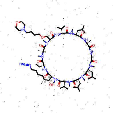 CC[C@@H]1NC(=O)[C@H]([C@H](O)[C@H](C)CCCCN=[N+]=[N-])N(C)C(=O)[C@H](C(C)C)N(C)C(=O)[C@H](CC(C)C)N(C)C(=O)[C@H](CC(C)C)N(C)C(=O)[C@@H](C)NC(=O)[C@H](C)NC(=O)[C@H](CC(C)C)N(C)C(=O)[C@H](C(C)C)NC(=O)[C@H]([C@@H](C)OCCCCN2CCOCC2)N(C)C(=O)[C@@H](C)N(C)C1=O